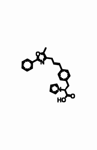 Cc1oc(-c2ccccc2)nc1CC=Cc1ccc(C[C@@H](C(=O)O)n2cccc2)cc1